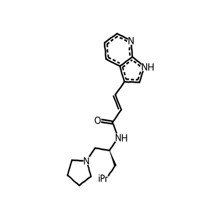 CC(C)C[C@@H](CN1CCCC1)NC(=O)C=Cc1c[nH]c2ncccc12